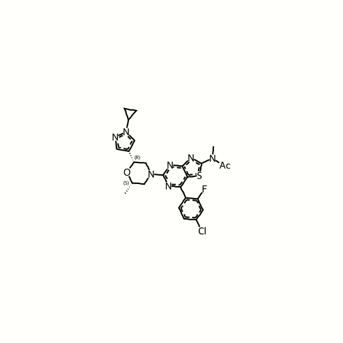 CC(=O)N(C)c1nc2nc(N3C[C@@H](c4cnn(C5CC5)c4)O[C@@H](C)C3)nc(-c3ccc(Cl)cc3F)c2s1